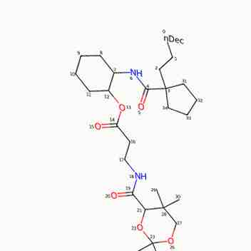 CCCCCCCCCCCCC1(C(=O)NC2CCCCC2OC(=O)CCNC(=O)C2OC(C)(C)OCC2(C)C)CCCC1